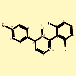 ON1C(c2c(F)cccc2F)=NC=CC1c1ccc(Br)cc1